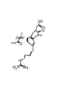 N=C(N)NCCCCOc1ccc2c(c1)NC(=O)C(CC(=O)O)C2.O=C(O)C(F)(F)F